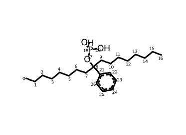 CCCCCCCCC(CCCCCCCC)(O[PH](=O)O)c1ccccc1